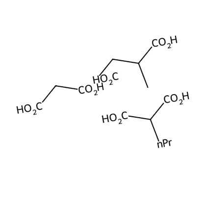 CC(CC(=O)O)C(=O)O.CCCC(C(=O)O)C(=O)O.O=C(O)CC(=O)O